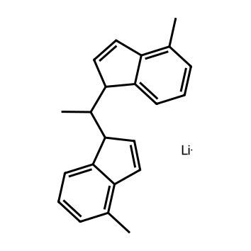 Cc1cccc2c1C=CC2C(C)C1C=Cc2c(C)cccc21.[Li]